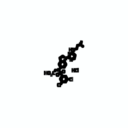 CN(C)CCNc1ccnc(N2CCc3cc(N(CC(=O)O)S(=O)(=O)c4cc(Cl)cc(Cl)c4)ccc32)n1.Cl